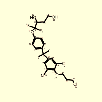 CC(C)(c1ccc(OC(F)(F)C(O)CCO)cc1)c1cc(Cl)c(OCCCCl)c(Cl)c1